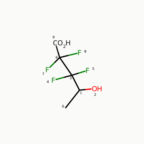 CC(O)C(F)(F)C(F)(F)C(=O)O